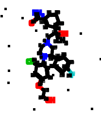 C[C@@](O)(CN1CCN(c2ccc(OCCO)cc2Cl)[C@H](c2ccc(F)cc2)C1)c1cccc(C(N)=O)c1